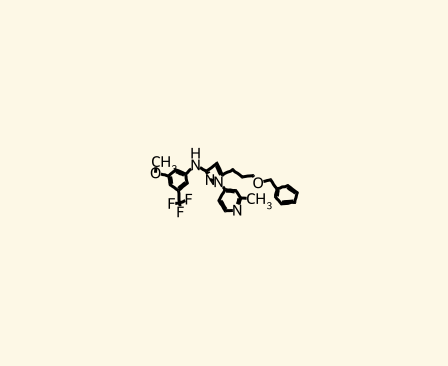 COc1cc(Nc2cc(CCCOCc3ccccc3)n(-c3ccnc(C)c3)n2)cc(C(F)(F)F)c1